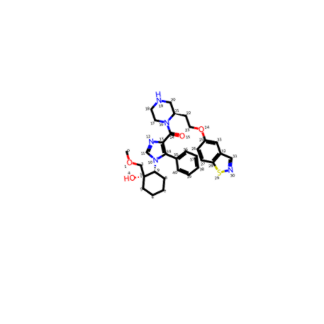 COC[C@]1(O)CCCC[C@H]1n1cnc(C(=O)N2CCNC[C@H]2CCOc2ccc3sncc3c2)c1-c1ccccc1